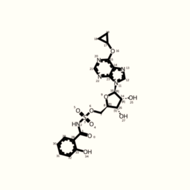 O=C(NS(=O)(=O)OC[C@H]1O[C@@H](n2cnc3c(OC4CC4)ncnc32)[C@H](O)[C@@H]1O)c1ccccc1O